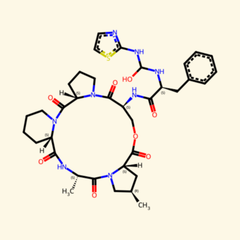 C[C@@H]1C[C@H]2C(=O)OC[C@H](NC(=O)[C@H](Cc3ccccc3)NC(O)Nc3nccs3)C(=O)N3CCC[C@H]3C(=O)N3CCCC[C@H]3C(=O)N[C@@H](C)C(=O)N2C1